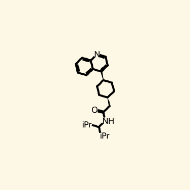 CC(C)C(NC(=O)C[C@H]1CC[C@@H](c2ccnc3ccccc32)CC1)C(C)C